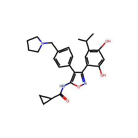 CC(C)c1cc(-c2noc(NC(=O)C3CC3)c2-c2ccc(CN3CCCC3)cc2)c(O)cc1O